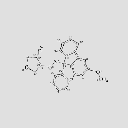 COc1ccc(C(SO[C@@H]2COC[C@@H]2[O])(c2ccccc2)c2ccccc2)cc1